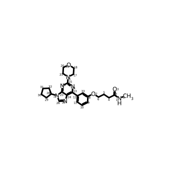 CNC(=O)CCCOc1cccc(-c2nc(N3CCOCC3)nc3c2ncn3C2CCCC2)c1